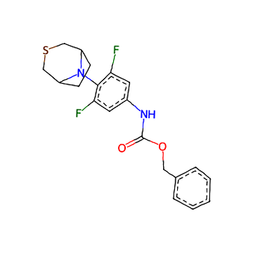 O=C(Nc1cc(F)c(N2C3CCC2CSC3)c(F)c1)OCc1ccccc1